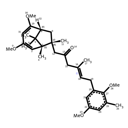 COC1=C[C@]2(C)C(C)(C)[C@@H](C[C@]2(C)CC(=O)C/C(C)=C/Cc2cc(OC)cc(C)c2OC)C(OC)=C1